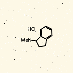 CNC1CCc2ccccc21.Cl